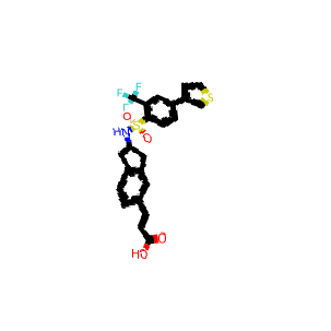 O=C(O)C=Cc1ccc2c(c1)CC(NS(=O)(=O)c1ccc(-c3ccsc3)cc1C(F)(F)F)C2